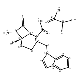 N[C@@H]1C(=O)N2C(C(=O)O)=C(Cn3cc[n+]4ccccc34)CS[C@H]12.O=C(O)C(F)F